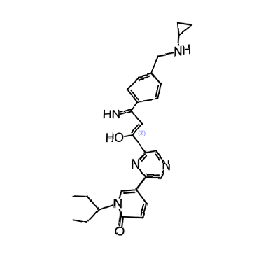 CCC(CC)n1cc(-c2cncc(/C(O)=C/C(=N)c3ccc(CNC4CC4)cc3)n2)ccc1=O